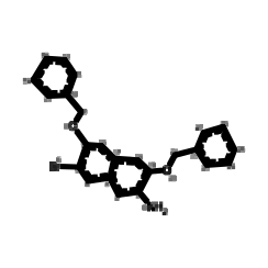 Nc1cc2cc(Br)c(OCc3ccccc3)cc2cc1OCc1ccccc1